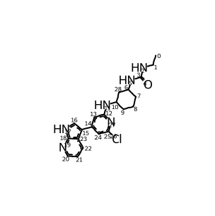 CCNC(=O)NC1CCCC(Nc2cc(-c3c[nH]c4ncccc34)cc(Cl)n2)C1